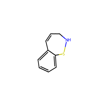 C1=Cc2ccccc2SNC1